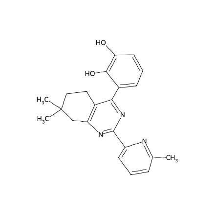 Cc1cccc(-c2nc3c(c(-c4cccc(O)c4O)n2)CCC(C)(C)C3)n1